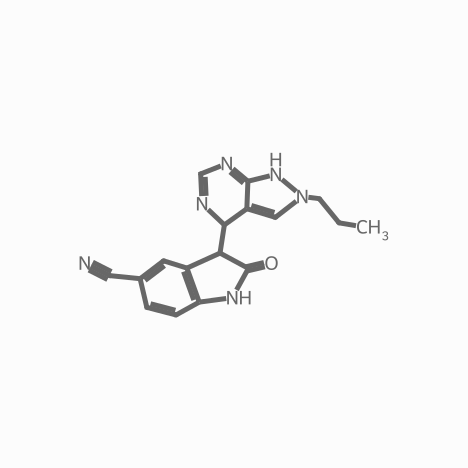 CCCN1C=C2C(=NC=NC2C2C(=O)Nc3ccc(C#N)cc32)N1